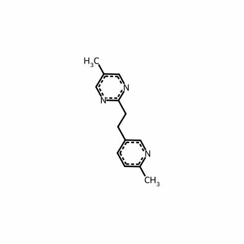 Cc1cnc(CCc2ccc(C)nc2)nc1